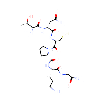 C[C@@H](O)[C@H](N)C(=O)N[C@@H](CC(N)=O)C(=O)N[C@@H](CS)C(=O)N1CCC[C@H]1C(=O)N[C@@H](CCCN)C(=O)NCC(N)=O